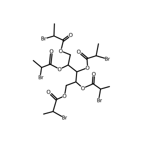 CC(Br)C(=O)OCC(OC(=O)C(C)Br)C(OC(=O)C(C)Br)C(COC(=O)C(C)Br)OC(=O)C(C)Br